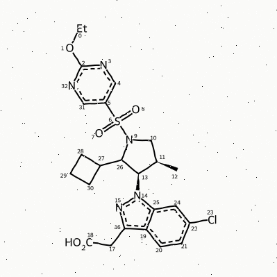 CCOc1ncc(S(=O)(=O)N2C[C@@H](C)[C@@H](n3nc(CC(=O)O)c4ccc(Cl)cc43)C2C2CCC2)cn1